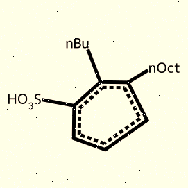 CCCCCCCCc1cccc(S(=O)(=O)O)c1CCCC